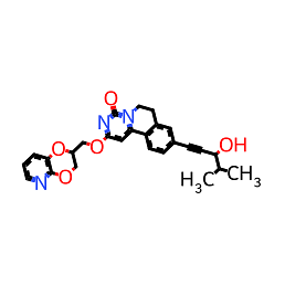 CC(C)C(O)C#Cc1ccc2c(c1)CCn1c-2cc(OCC2COc3ncccc3O2)nc1=O